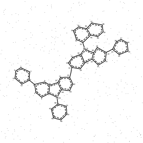 c1ccc(-c2ccc3c(c2)c2cc(-c4ccc5c(c4)c4ccc(-c6ccccc6)cc4n5-c4cccc5ccccc45)ccc2n3-c2ccccc2)cc1